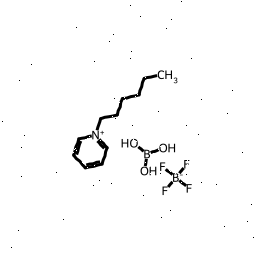 CCCCCC[n+]1ccccc1.F[B-](F)(F)F.OB(O)O